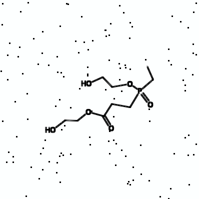 CCP(=O)(CCC(=O)OCCO)OCCO